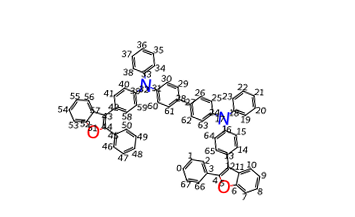 c1ccc(-c2oc3ccccc3c2-c2ccc(N(c3ccccc3)c3ccc(-c4ccc(N(c5ccccc5)c5ccc(-c6c(-c7ccccc7)oc7ccccc67)cc5)cc4)cc3)cc2)cc1